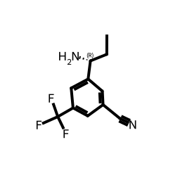 CC[C@@H](N)c1cc(C#N)cc(C(F)(F)F)c1